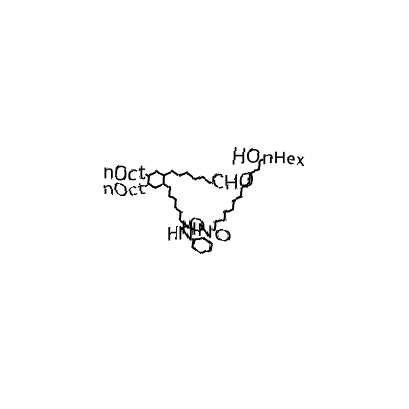 CCCCCCCCC1CC(CCCCCCC=O)C(CCCCCCC(=O)N[C@@H]2CCCC[C@H]2NC(=O)CCCCCCCCCCC(O)CCCCCC)CC1CCCCCCCC